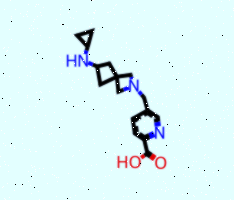 O=C(O)c1ccc(CN2CC3(CC(NC4CC4)C3)C2)cn1